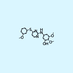 COc1cccc(Sc2ccnc(Nc3cc(O)c(OC)c(OC)c3)n2)c1